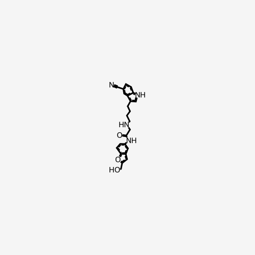 N#Cc1ccc2[nH]cc(CCCCNCC(=O)Nc3ccc4oc(CO)cc4c3)c2c1